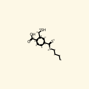 CCCCSC(=S)c1ccc(C(=O)O)c(CS)c1